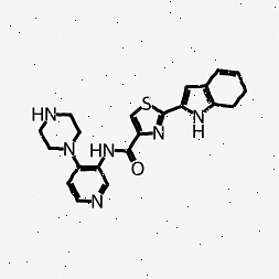 O=C(Nc1cnccc1N1CCNCC1)c1csc(-c2cc3c([nH]2)CCC=C3)n1